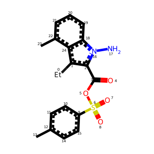 CCc1c(C(=O)OS(=O)(=O)c2ccc(C)cc2)n(N)c2cccc(C)c12